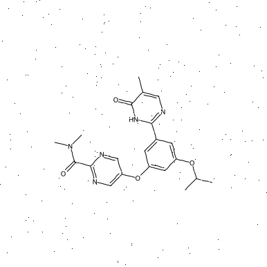 Cc1cnc(-c2cc(Oc3cnc(C(=O)N(C)C)nc3)cc(OC(C)C)c2)[nH]c1=O